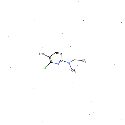 CC(=O)Oc1ccc(N(C)CC(F)(F)F)nc1Cl